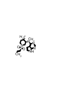 CC=CS(=O)(=O)N1CC[C@@H](C)[C@@H](N(C)c2ncnc3[nH]ccc23)C1